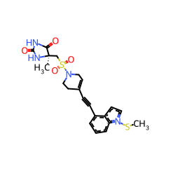 CSn1ccc2c(C#CC3=CCN(S(=O)(=O)C[C@@]4(C)NC(=O)NC4=O)CC3)cccc21